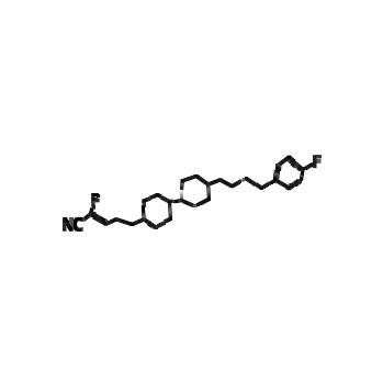 N#CC(F)=CCCC1CCC(C2CCC(CCCCc3ccc(F)cc3)CC2)CC1